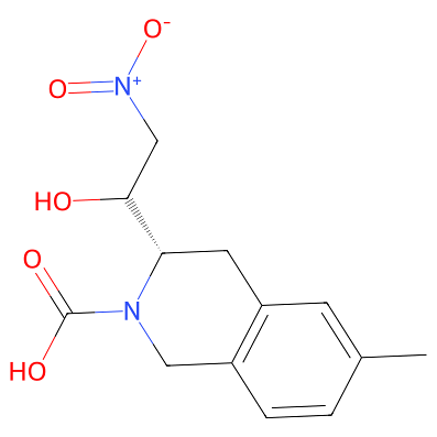 Cc1ccc2c(c1)C[C@@H](C(O)C[N+](=O)[O-])N(C(=O)O)C2